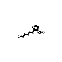 O=Cc1ccoc1CCCCCCl